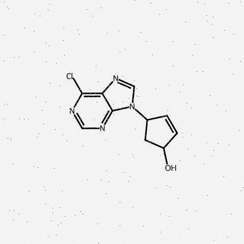 OC1C=CC(n2cnc3c(Cl)ncnc32)C1